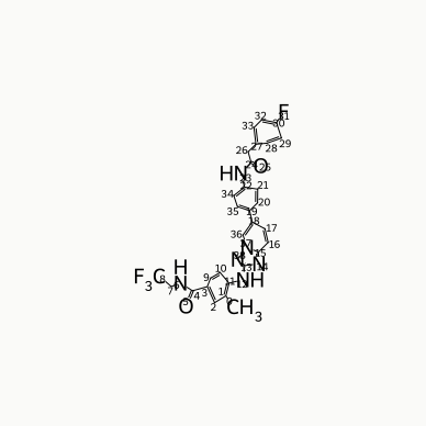 Cc1cc(C(=O)NCC(F)(F)F)ccc1Nc1nc2ccc(-c3ccc(NC(=O)Cc4ccc(F)cc4)cc3)cn2n1